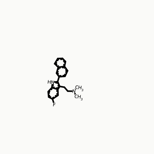 CN(C)CCc1c(-c2ccc3ccccc3c2)[nH]c2ccc(F)cc12